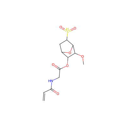 C=CC(=O)NCC(=O)OC1C2CC([SH](=O)=O)C(O2)C1OC